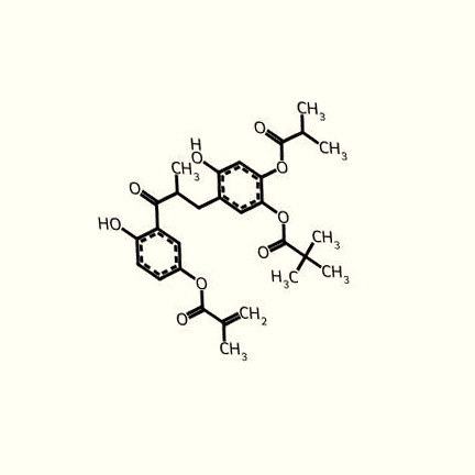 C=C(C)C(=O)Oc1ccc(O)c(C(=O)C(C)Cc2cc(OC(=O)C(C)(C)C)c(OC(=O)C(C)C)cc2O)c1